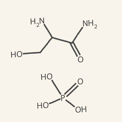 NC(=O)C(N)CO.O=P(O)(O)O